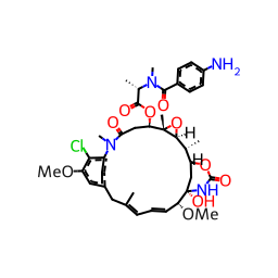 COc1cc2cc(c1Cl)N(C)C(=O)C[C@@H](OC(=O)[C@H](C)N(C)C(=O)c1ccc(N)cc1)[C@]1(C)O[C@H]1[C@H](C)[C@@H]1C[C@@](O)(NC(=O)O1)[C@H](OC)/C=C/C=C(\C)C2